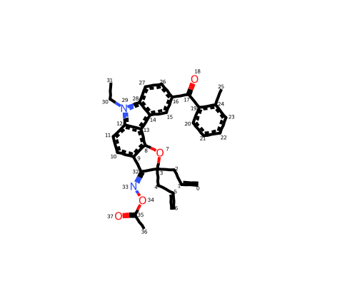 C=CCC1(CC=C)Oc2c(ccc3c2c2cc(C(=O)c4ccccc4C)ccc2n3CC)/C1=N/OC(C)=O